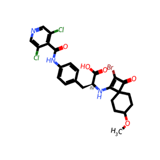 COC1CCC2(CC1)C(=O)C(Br)=C2N[C@@H](Cc1ccc(NC(=O)c2c(Cl)cncc2Cl)cc1)C(=O)O